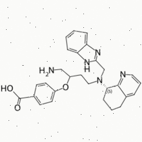 NCC(CCN(Cc1nc2ccccc2[nH]1)[C@H]1CCCc2cccnc21)Oc1ccc(C(=O)O)cc1